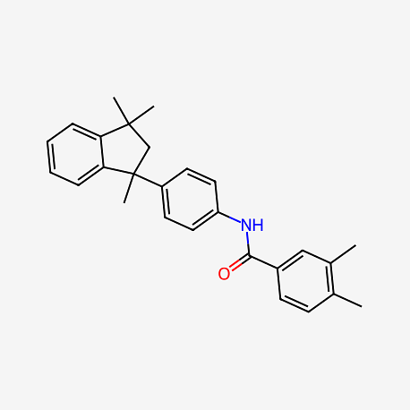 Cc1ccc(C(=O)Nc2ccc(C3(C)CC(C)(C)c4ccccc43)cc2)cc1C